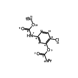 CCCC(=O)Oc1cc(NC(=O)OC(C)(C)C)ccc1Cl